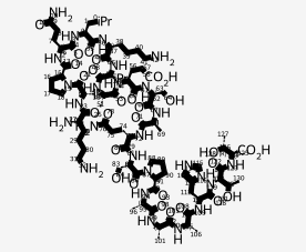 CC(C)C[C@H](NC(=O)[C@H](CCC(N)=O)NC(=O)[C@@H]1CCCN1C(=O)[C@@H](NC(=O)[C@@H](N)CCCCN)C(C)C)C(=O)N[C@@H](CCCCN)C(=O)N[C@H](C(=O)N[C@@H](C)C(=O)N[C@@H](CCC(=O)O)C(=O)N[C@@H](CO)C(=O)N[C@@H](C)C(=O)N[C@@H](CCC(N)=O)C(=O)N[C@@H](CO)C(=O)N1CCC[C@H]1C(=O)N[C@@H](C)C(=O)N[C@@H](C)C(=O)N[C@@H](C)C(=O)N[C@@H](Cc1c[nH]cn1)C(=O)N[C@H](C(=O)N[C@H](C(=O)O)[C@@H](C)O)[C@@H](C)O)C(C)C